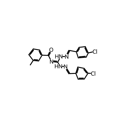 Cc1cccc(C(=O)N=C(NN=Cc2ccc(Cl)cc2)NN=Cc2ccc(Cl)cc2)c1